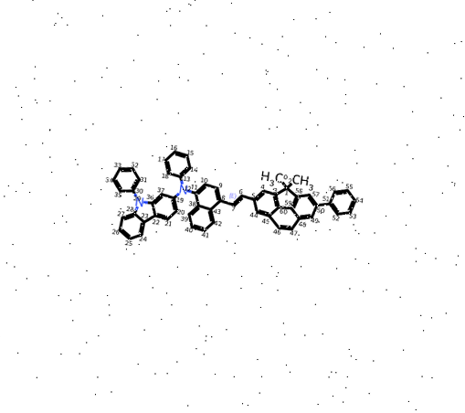 CC1(C)c2cc(/C=C/c3ccc(N(c4ccccc4)c4ccc5c6ccccc6n(-c6ccccc6)c5c4)c4ccccc34)cc3ccc4cc(-c5ccccc5)cc1c4c23